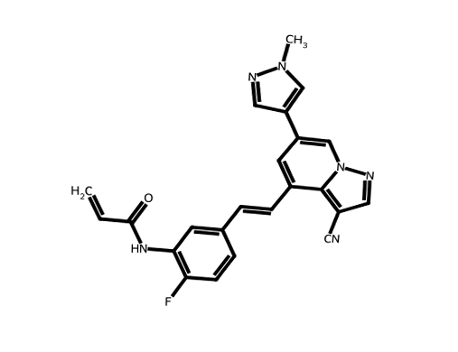 C=CC(=O)Nc1cc(/C=C/c2cc(-c3cnn(C)c3)cn3ncc(C#N)c23)ccc1F